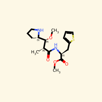 COC(=O)[C@H](Cc1cccs1)NC(=O)[C@H](C)[C@@H](OC)[C@@H]1CCCN1